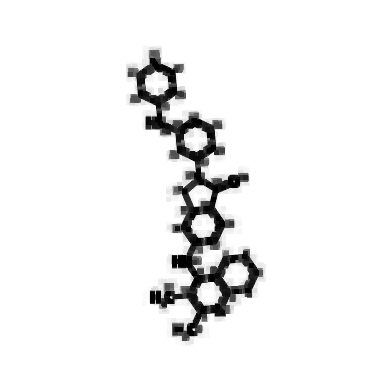 Cc1nc2ccccc2c(Nc2ccc3c(c2)CN(c2cccc(Nc4ccncc4)c2)C3=O)c1C